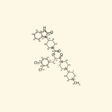 CN1CCC(N2CCN(C(=O)C(Cc3ccc(Cl)c(Cl)c3)OC(=O)N3CCC(n4c(=O)[nH]c5ccccc54)CC3)CC2)CC1